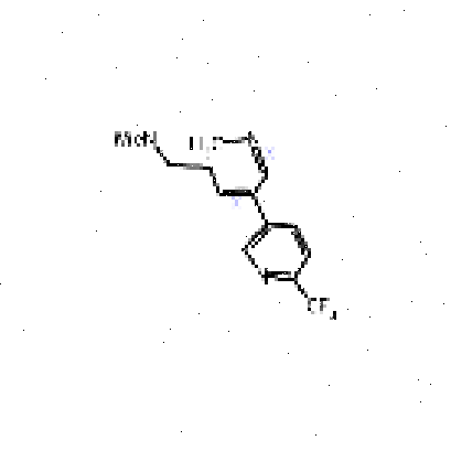 C/N=C\C(=C/CCNC)c1ccc(C(F)(F)F)nc1